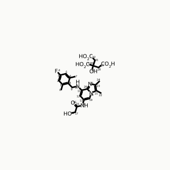 Cc1cc(F)cc(C)c1CNc1cc(NC(=O)CO)cn2c(C)c(C)nc12.O=C(O)CC(O)(CC(=O)O)C(=O)O